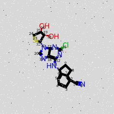 N#Cc1cccc2c1CC[C@H]2Nc1nc(Cl)nc2c1ncn2[C@@H]1SC[C@@H](O)[C@H]1O